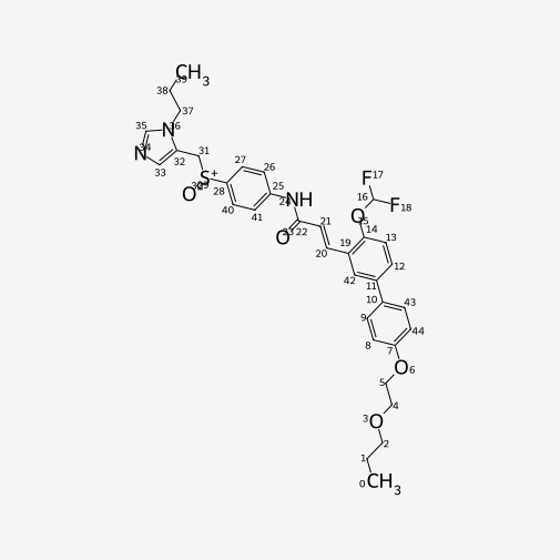 CCCOCCOc1ccc(-c2ccc(OC(F)F)c(/C=C/C(=O)Nc3ccc([S+]([O-])Cc4cncn4CCC)cc3)c2)cc1